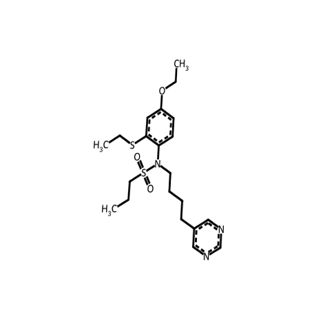 CCCS(=O)(=O)N(CCCCc1cncnc1)c1ccc(OCC)cc1SCC